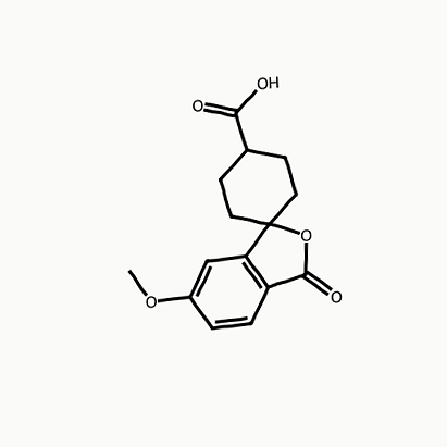 COc1ccc2c(c1)C1(CCC(C(=O)O)CC1)OC2=O